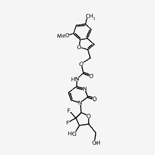 COc1cc(C)cc2cc(COC(=O)Nc3ccn(C4OC(CO)C(O)C4(F)F)c(=O)n3)oc12